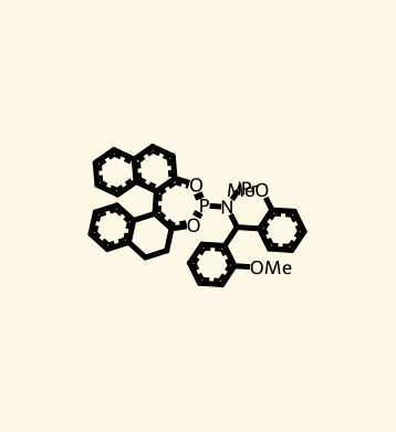 COc1ccccc1C(c1ccccc1OC)N(C(C)C)p1oc2c(c3c(ccc4ccccc43)o1)-c1ccccc1CC2